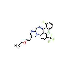 CCO/C=C/C1=CN=C2CN=C(c3c(F)cccc3F)c3c(ccc(C(F)(F)F)c3Cl)N2C1